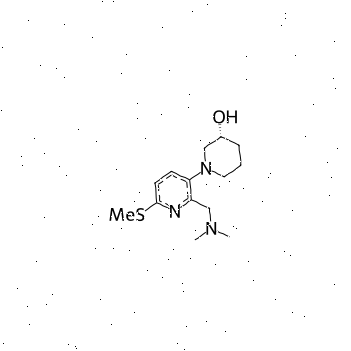 CSc1ccc(N2CCC[C@@H](O)C2)c(CN(C)C)n1